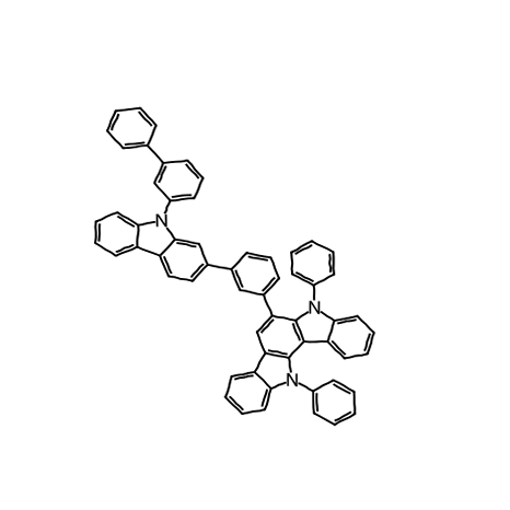 c1ccc(-c2cccc(-n3c4ccccc4c4ccc(-c5cccc(-c6cc7c8ccccc8n(-c8ccccc8)c7c7c8ccccc8n(-c8ccccc8)c67)c5)cc43)c2)cc1